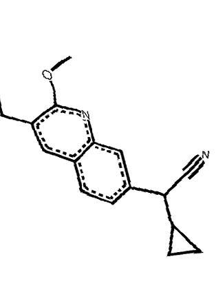 CCc1cc2ccc(C(C#N)C3CC3)cc2nc1OC